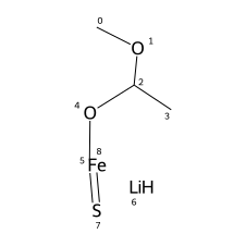 COC(C)OC.[LiH].[S]=[Fe]